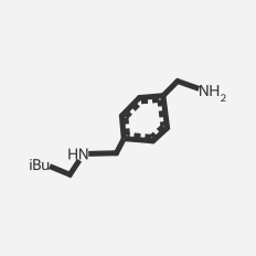 CCC(C)CNCc1ccc(CN)cc1